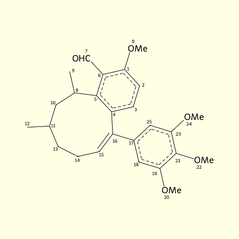 COc1ccc2c(c1C=O)C(C)CC(C)CC/C=C\2c1cc(OC)c(OC)c(OC)c1